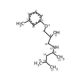 Cc1cccc(OCC(O)CNC(C)CC(C)C)c1